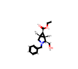 CCOC(=O)[C@@H]1[C@H]2CN(Cc3ccccc3)[C@H](CO)[C@H]21